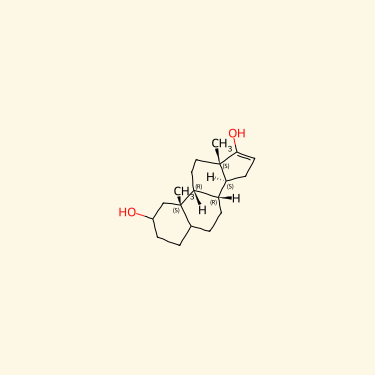 C[C@]12CC(O)CCC1CC[C@@H]1[C@H]2CC[C@]2(C)C(O)=CC[C@@H]12